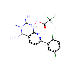 CN1C(N)c2ccc(-c3cc(Cl)ccc3Cl)nc2N(OC(=O)C(F)(F)F)C1N